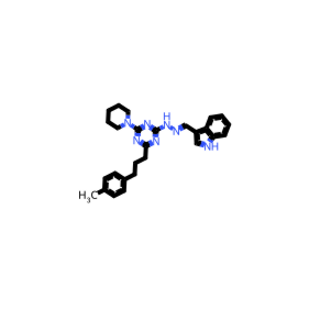 Cc1ccc(CCCc2nc(N/N=C/c3c[nH]c4ccccc34)nc(N3CCCCC3)n2)cc1